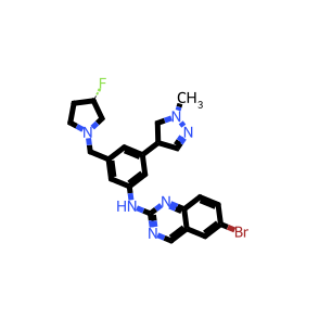 CN1CC(c2cc(CN3CC[C@H](F)C3)cc(Nc3ncc4cc(Br)ccc4n3)c2)C=N1